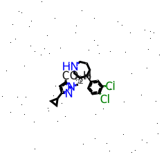 O=C(O)c1cc(C2CC2)nn1C[C@@H]1CNCCC[C@H]1c1ccc(Cl)c(Cl)c1